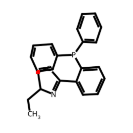 CCC1COC(c2ccccc2P(c2ccccc2)c2ccccc2)=N1